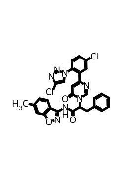 Cc1ccc2c(NC(=O)C(Cc3ccccc3)n3cnc(-c4cc(Cl)ccc4-n4cc(Cl)nn4)cc3=O)noc2c1